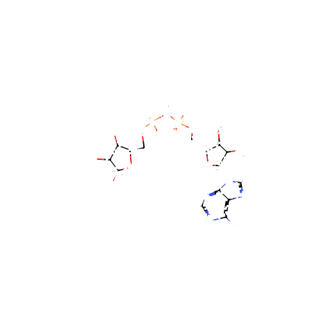 Nc1ncnc2c1ncn2[C@@H]1O[C@H](COP(=O)(O)OP(=O)(O)OC[C@H]2O[C@@H](O)C(O)C2O)C(O)C1O